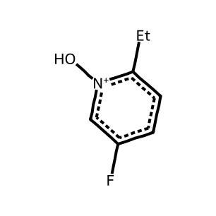 CCc1ccc(F)c[n+]1O